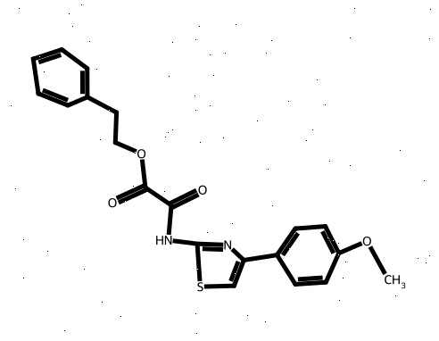 COc1ccc(-c2csc(NC(=O)C(=O)OCCc3ccccc3)n2)cc1